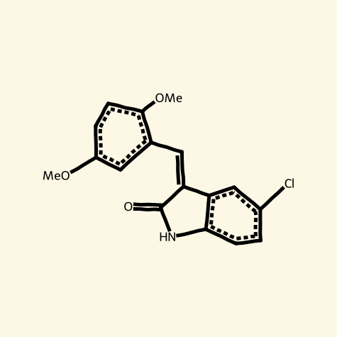 COc1ccc(OC)c(C=C2C(=O)Nc3ccc(Cl)cc32)c1